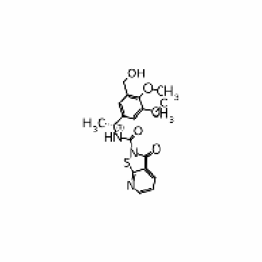 COc1cc([C@@H](C)NC(=O)n2sc3ncccc3c2=O)cc(CO)c1OC